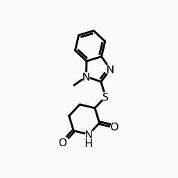 Cn1c(SC2CCC(=O)NC2=O)nc2ccccc21